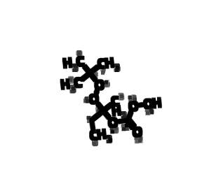 CCC(C)(OOC(C)(C)C)OC(=O)OO